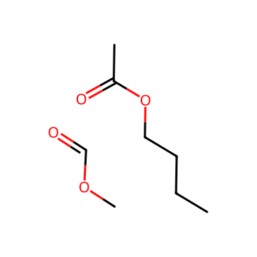 CCCCOC(C)=O.COC=O